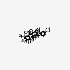 [2H]c1c([2H])c(F)c(-c2noc(-c3cnn(-c4cccc(Cl)c4)c3C(F)(F)F)c2C(=O)OC)c(Cl)c1[2H]